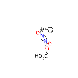 O=C(O)CCOCC(=O)N1CCN(C(=O)[C@@H]2C[C@H]2c2ccccc2)CC1